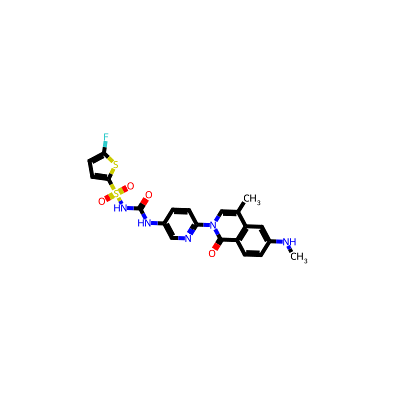 CNc1ccc2c(=O)n(-c3ccc(NC(=O)NS(=O)(=O)c4ccc(F)s4)cn3)cc(C)c2c1